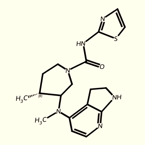 C[C@@H]1CCN(C(=O)Nc2nccs2)CC1N(C)c1ccnc2c1CCN2